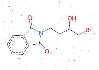 O=C1c2ccccc2C(=O)N1CCC(O)CBr